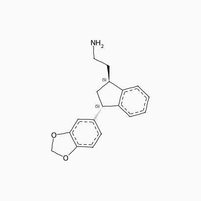 NCC[C@@H]1C[C@@H](c2ccc3c(c2)OCO3)c2ccccc21